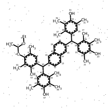 CCOC(C)Oc1c(C)cc(C(c2ccc3cc(C(c4cc(C)c(O)c(C)c4C)c4cc(C)c(O)c(C)c4C)ccc3c2)c2cc(C)c(O)c(C)c2C)c(C)c1C